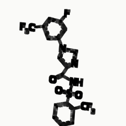 O=C(NS(=O)(=O)c1ccccc1C(F)(F)F)c1cn(-c2cc(F)cc(C(F)(F)F)c2)cn1